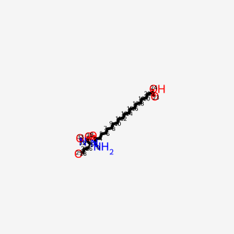 NN(C(=O)CCCCCCCCCCCCCCCCCCC(=O)O)[C@@H](CCC=O)C(=O)N=O